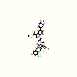 CC(=O)c1nn(CC(=O)N2CSC(C)(C)C2C(=O)NCc2cccc(Cl)c2F)c2ccc(-c3cnc(C)nc3)cc12